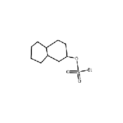 CCS(=O)(=O)OC1CCC2CCCCC2C1